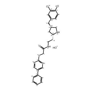 Cl.O=C(CSc1ncc(-c2ccccc2)cn1)NCC[C@@H]1C[C@@H](Cc2ccc(Cl)c(Cl)c2)CN1